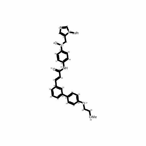 CCCn1cncc1C[S+]([O-])c1ccc(NC(=O)/C=C/c2cccc(-c3ccc(OCCOC)cc3)c2)cc1